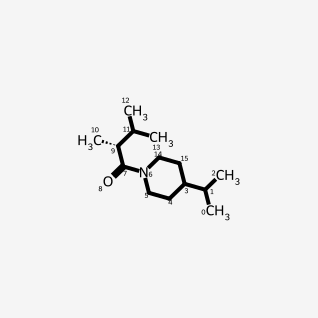 CC(C)C1CCN(C(=O)[C@H](C)C(C)C)CC1